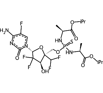 CC(C)OC(=O)[C@H](C)NP(=S)(N[C@@H](C)C(=O)OC(C)C)OC[C@@]1(C(F)F)O[C@@H](n2cc(F)c(N)nc2=O)C(F)(F)[C@@H]1O